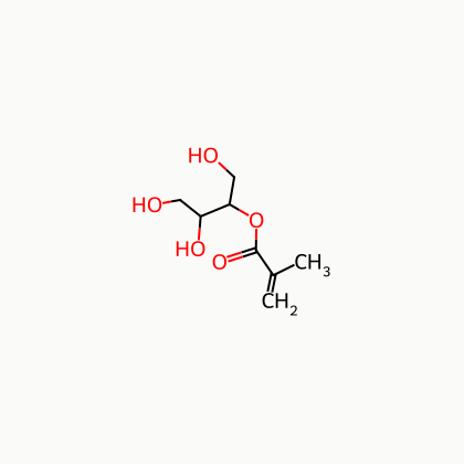 C=C(C)C(=O)OC(CO)C(O)CO